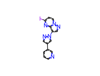 Ic1ccn2ncc(-n3cc(-c4cccnc4)cn3)c2n1